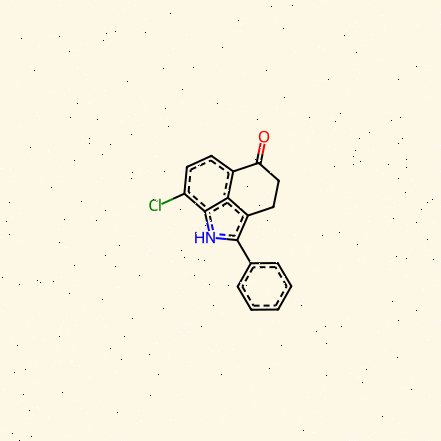 O=C1CCc2c(-c3ccccc3)[nH]c3c(Cl)ccc1c23